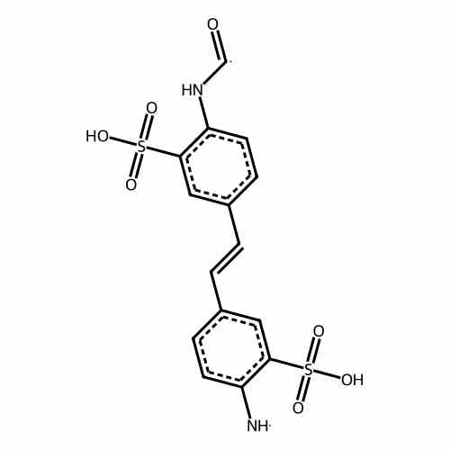 [NH]c1ccc(C=Cc2ccc(N[C]=O)c(S(=O)(=O)O)c2)cc1S(=O)(=O)O